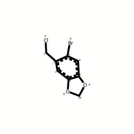 ClCc1cc2c(cc1Br)OCO2